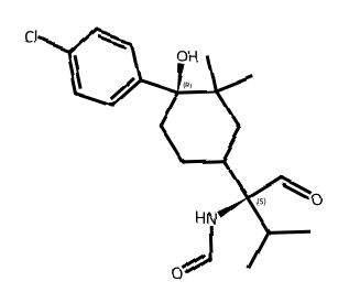 CC(C)[C@](C=O)(NC=O)C1CC[C@](O)(c2ccc(Cl)cc2)C(C)(C)C1